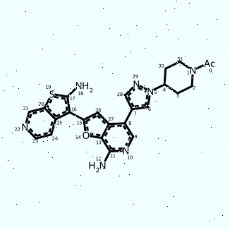 CC(=O)N1CCC(n2cc(-c3cnc(N)c4oc(-c5c(N)sc6cnccc56)cc34)cn2)CC1